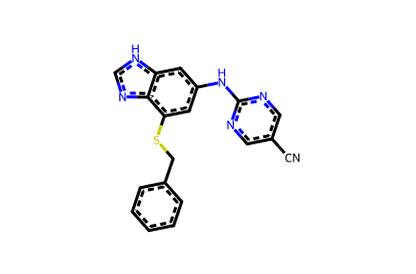 N#Cc1cnc(Nc2cc(SCc3ccccc3)c3nc[nH]c3c2)nc1